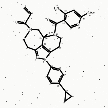 C=CC(=O)N1CCc2nn(-c3ccc(C4CC4)cc3)c3c2[C@H](C1)N(C(=O)c1cnc(SC)cc1N)CC3